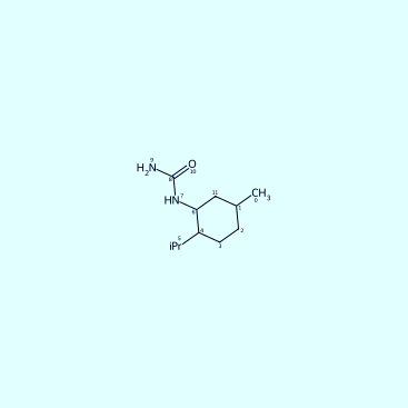 CC1CCC(C(C)C)C(NC(N)=O)C1